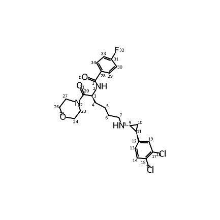 O=C(N[C@@H](CCCCN[C@@H]1C[C@H]1c1ccc(Cl)c(Cl)c1)C(=O)N1CCOCC1)c1ccc(F)cc1